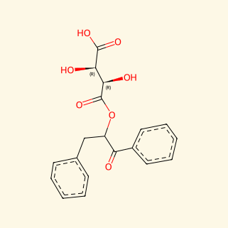 O=C(c1ccccc1)C(Cc1ccccc1)OC(=O)[C@H](O)[C@@H](O)C(=O)O